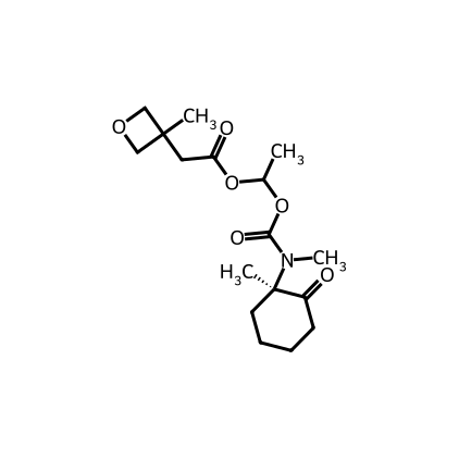 CC(OC(=O)CC1(C)COC1)OC(=O)N(C)[C@]1(C)CCCCC1=O